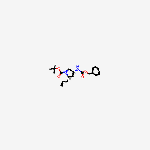 C=CC[C@@H]1C[C@H](NC(=O)OCc2ccccc2)CN1C(=O)OC(C)(C)C